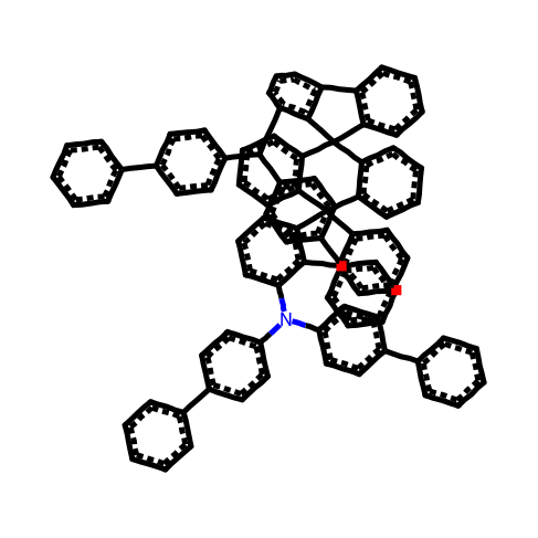 c1ccc(-c2ccc(C(c3ccc(-c4ccccc4)cc3)c3cccc4c3C3(c5ccccc5-4)c4ccccc4C4(c5ccccc5-c5c(N(c6ccc(-c7ccccc7)cc6)c6ccc(-c7ccccc7)cc6)cccc54)c4ccccc43)cc2)cc1